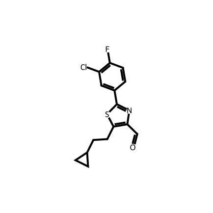 O=Cc1nc(-c2ccc(F)c(Cl)c2)sc1CCC1CC1